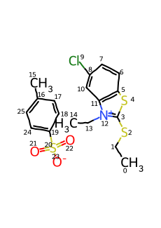 CCSc1sc2ccc(Cl)cc2[n+]1CC.Cc1ccc(S(=O)(=O)[O-])cc1